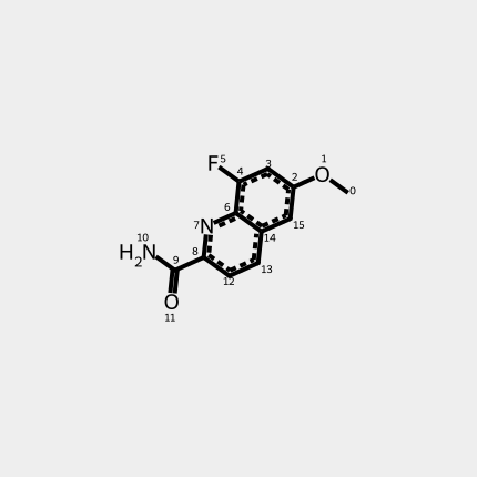 COc1cc(F)c2nc(C(N)=O)ccc2c1